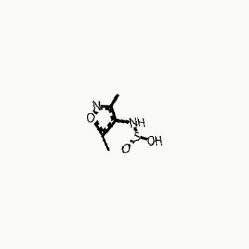 Cc1noc(C)c1NS(=O)O